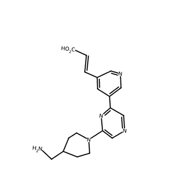 NCC1CCN(c2cncc(-c3cncc(C=CC(=O)O)c3)n2)CC1